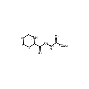 COC(=O)NOC(=O)C1CCCCN1